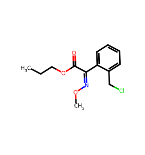 CCCOC(=O)C(=NOC)c1ccccc1CCl